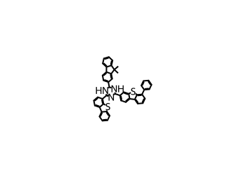 CC1(C)c2ccccc2-c2ccc(C3NC(c4cccc5c4sc4ccccc45)=NC(c4ccc5c(c4)sc4c(-c6ccccc6)cccc45)N3)cc21